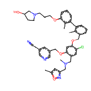 Cc1cc(CN(C)Cc2cc(Cl)c(OCc3cccc(-c4cccc(OCCCN5CCC(O)C5)c4C)c3C)cc2OCc2cncc(C#N)c2)no1